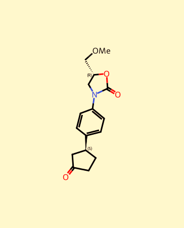 COC[C@H]1CN(c2ccc([C@H]3CCC(=O)C3)cc2)C(=O)O1